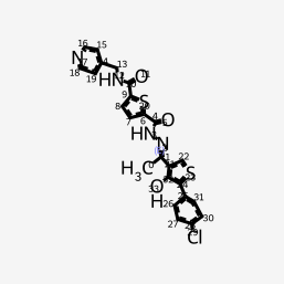 C/C(=N\NC(=O)c1ccc(C(=O)NCc2ccncc2)s1)c1csc(-c2ccc(Cl)cc2)c1O